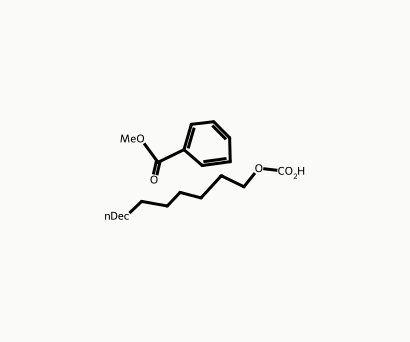 CCCCCCCCCCCCCCCCOC(=O)O.COC(=O)c1ccccc1